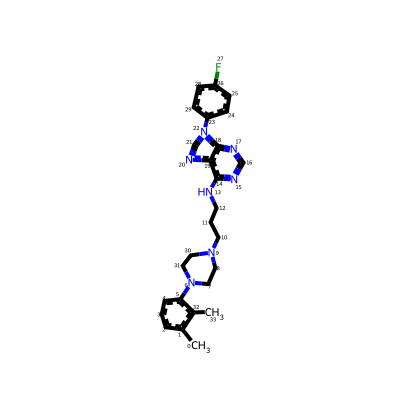 Cc1cccc(N2CCN(CCCNc3ncnc4c3ncn4-c3ccc(F)cc3)CC2)c1C